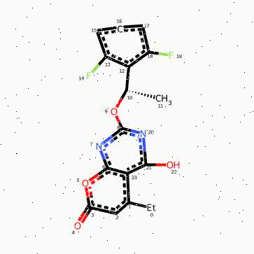 CCc1cc(=O)oc2nc(O[C@@H](C)c3c(F)cccc3F)nc(O)c12